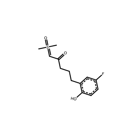 CS(C)(=O)=CC(=O)CCCc1cc(F)ccc1O